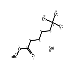 CCCCOC(=O)CCCCC(CC)(CC)CC.[Sn]